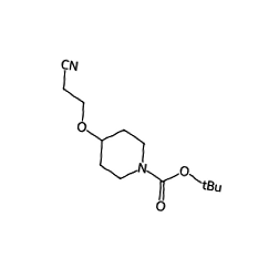 CC(C)(C)OC(=O)N1CCC(OCCC#N)CC1